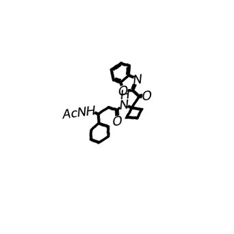 CC(=O)NC(CC(=O)NC1(C(=O)c2nc3ccccc3o2)CCC1)C1CCCCC1